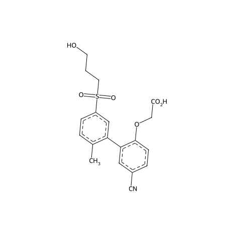 Cc1ccc(S(=O)(=O)CCCO)cc1-c1cc(C#N)ccc1OCC(=O)O